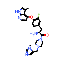 Cc1c[nH]c2nccc(Oc3ccc(CC(N)C(=O)N4CCN(Cc5cncn5C)CC4)cc3F)c12